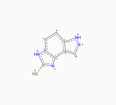 Sc1nc2c(ccc3[nH]ncc32)[nH]1